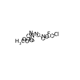 COC(=O)c1ccc2nc(CN3CC=C(c4cccc(OCc5ccc(Cl)cc5F)n4)CC3)n(C[C@@H]3CCO3)c2c1F